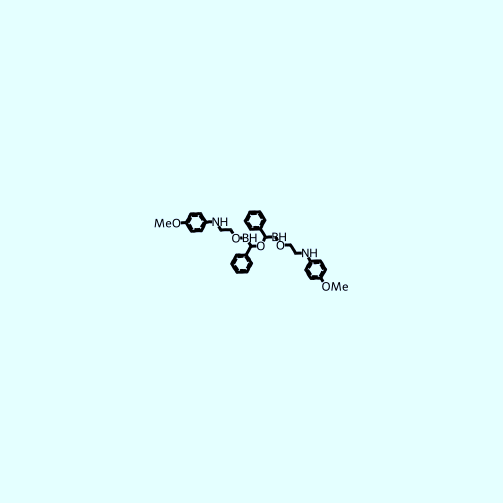 COc1ccc(NCCOBC(OC(BOCCNc2ccc(OC)cc2)c2ccccc2)c2ccccc2)cc1